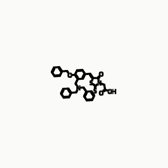 O=C(O)CN1C(=O)C(=Cc2ccc(OCc3ccccc3)c(CN(Cc3ccccc3)Cc3ccccc3)c2)SC1=S